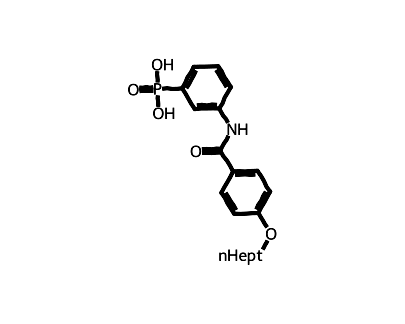 CCCCCCCOc1ccc(C(=O)Nc2cccc(P(=O)(O)O)c2)cc1